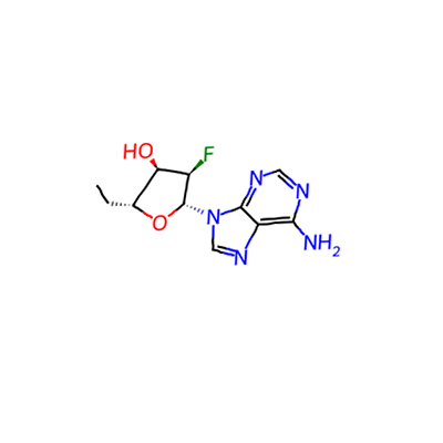 CC[C@H]1O[C@@H](n2cnc3c(N)ncnc32)[C@H](F)[C@@H]1O